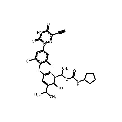 CC(C)C1=CC(Oc2c(Cl)cc(-n3nc(C#N)c(=O)[nH]c3=O)cc2Cl)=NN(C(C)OC(=O)NC2CCCC2)C1O